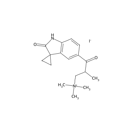 CC(C[N+](C)(C)C)C(=O)c1ccc2c(c1)C1(CC1)C(=O)N2.[I-]